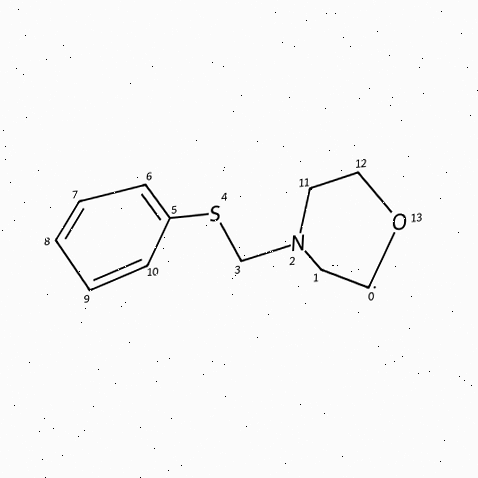 [CH]1CN(CSc2ccccc2)CCO1